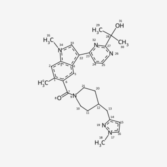 Cc1cc2c(cc1C(=O)N1CCC(Cc3ccn(C)n3)CC1)c(-c1ccnc(C(C)(C)O)n1)cn2C